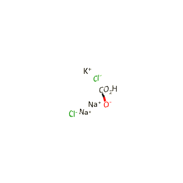 O=C([O-])O.[Cl-].[Cl-].[K+].[Na+].[Na+]